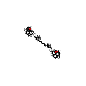 C[C@H]1[C@H](OCc2cn(CCCCCn3cc(CO[C@@H]4O[C@@H]5O[C@]6(C)CC[C@H]7[C@H](C)CC[C@@H]([C@H]4C)[C@@]57OO6)nn3)nn2)O[C@@H]2O[C@]3(C)CC[C@H]4[C@H](C)CC[C@@H]1[C@@]24OO3